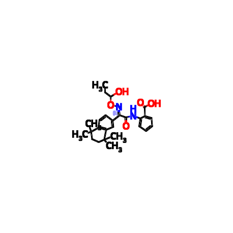 CCC(O)O/N=C(/C(=O)Nc1ccccc1C(=O)O)c1ccc2c(c1)C(C)(C)CCC2(C)C